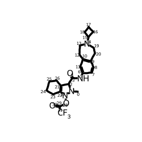 CN1C(C(=O)Nc2ccc3c(c2)CCN(C2CCC2)CC3)C2=C(CCCC2)N1OC(=O)C(F)(F)F